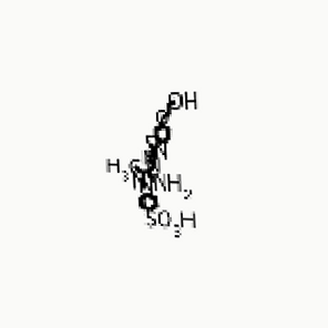 Cc1nn(-c2ccc(S(=O)(=O)O)cc2)c(N)c1/N=N/c1nc2ccc(OCCO)cc2s1